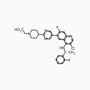 C[C@@H](Nc1c(Cl)cnc2cc(F)c(-c3cnc(C4CCN(CC(=O)O)CC4)nc3)cc12)c1ccccc1F